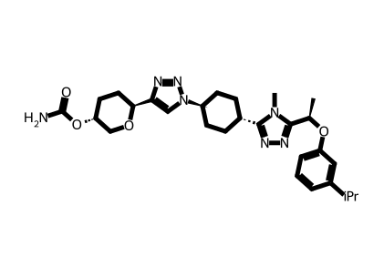 CC(C)c1cccc(O[C@H](C)c2nnc([C@H]3CC[C@H](n4cc([C@@H]5CC[C@@H](OC(N)=O)CO5)nn4)CC3)n2C)c1